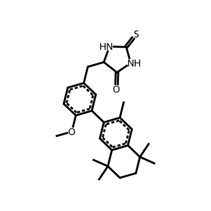 COc1ccc(CC2NC(=S)NC2=O)cc1-c1cc2c(cc1C)C(C)(C)CCC2(C)C